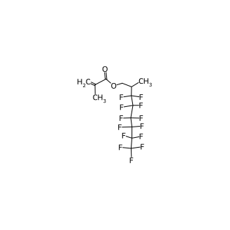 C=C(C)C(=O)OCC(C)C(F)(F)C(F)(F)C(F)(F)C(F)(F)C(F)(F)C(F)(F)F